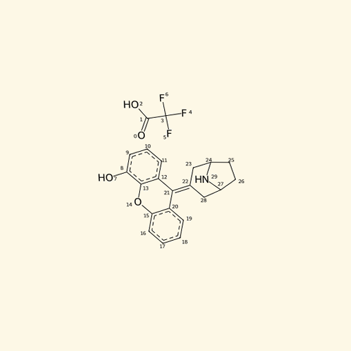 O=C(O)C(F)(F)F.Oc1cccc2c1Oc1ccccc1C2=C1CC2CCC(C1)N2